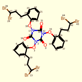 O=c1n(Oc2ccccc2CCC(Br)Br)c(=O)n(Oc2ccccc2CCC(Br)Br)c(=O)n1Oc1ccccc1CCC(Br)Br